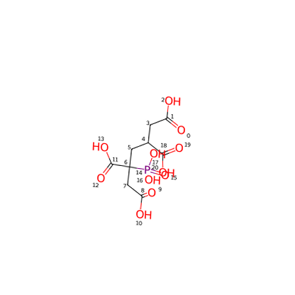 O=C(O)CC(CC(CC(=O)O)(C(=O)O)P(=O)(O)O)C(=O)O